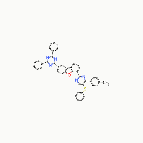 FC(F)(F)c1ccc(-c2nc(-c3cccc4c3oc3ccc(-c5nc(-c6ccccc6)nc(-c6ccccc6)n5)cc34)ncc2Sc2ccccc2)cc1